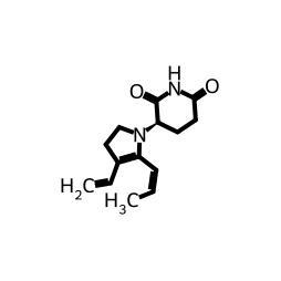 C=CC1=C(/C=C\C)N([C@@H]2CCC(=O)NC2=O)CC1